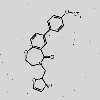 O=C1c2cc(-c3ccc(OC(F)(F)F)cc3)ccc2OCCN1CC1NC=CO1